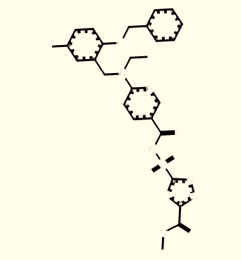 CCN(Cc1cc(Br)ccc1OCc1ccccc1)c1ccc(C(=O)NS(=O)(=O)c2nnc(C(=O)NC)s2)cn1